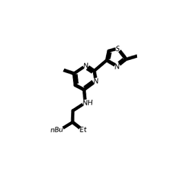 CCCCC(CC)CNc1cc(C)nc(-c2csc(C)n2)n1